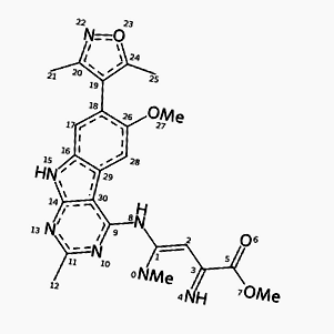 CN/C(=C\C(=N)C(=O)OC)Nc1nc(C)nc2[nH]c3cc(-c4c(C)noc4C)c(OC)cc3c12